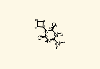 CN(C)c1nc(=O)n(C2CCC2)c(=O)n1C